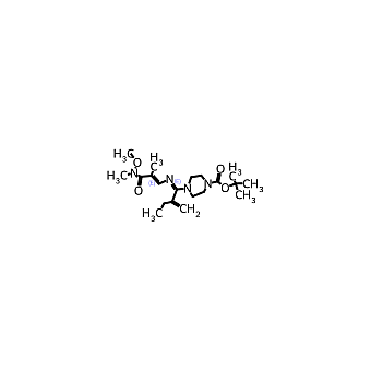 C=C(CC)/C(=N\C=C(/C)C(=O)N(C)OC)N1CCN(C(=O)OC(C)(C)C)CC1